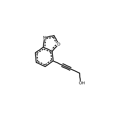 OCC#Cc1cccc2ncoc12